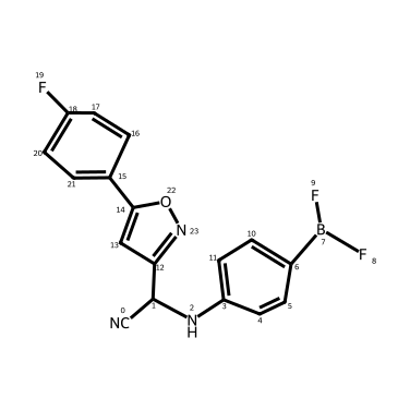 N#CC(Nc1ccc(B(F)F)cc1)c1cc(-c2ccc(F)cc2)on1